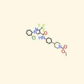 CCOC(=O)N1CCC(c2ccc(NC(=O)c3cn(-c4ccccc4Cl)nc3C(F)(F)F)cc2)CC1